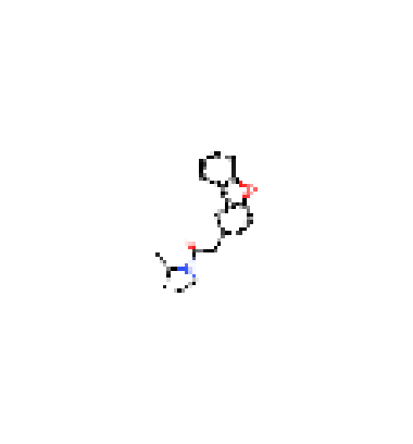 CC1CCCN1C(=O)Cc1ccc2oc3ccccc3c2c1